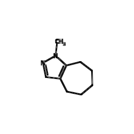 Cn1ncc2c1CCCCC2